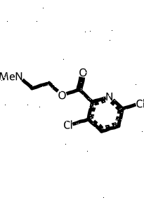 CNCCOC(=O)c1nc(Cl)ccc1Cl